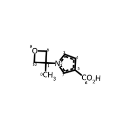 CC1(n2ccc(C(=O)O)c2)COC1